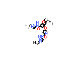 Cn1ccc(NC(=O)c2cc(Oc3ccc(C(=O)Nc4ccn(C)n4)nc3)c3c(c2)OC(C)(C)C3)n1